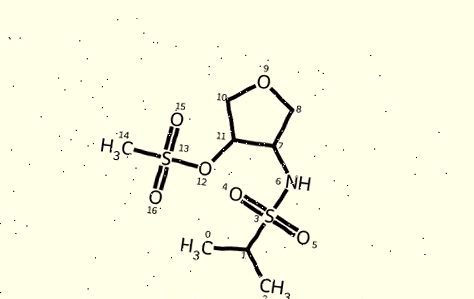 CC(C)S(=O)(=O)NC1COCC1OS(C)(=O)=O